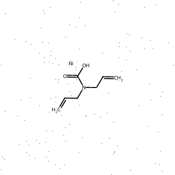 C=CCN(CC=C)C(=O)O.[Ni]